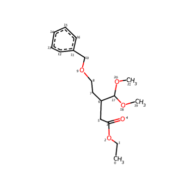 CCOC(=O)CC(CCOCc1ccccc1)C(OC)OC